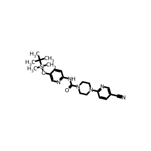 CC(C)(C)[Si](C)(C)Oc1ccc(NC(=O)N2CCN(c3ccc(C#N)cn3)CC2)nc1